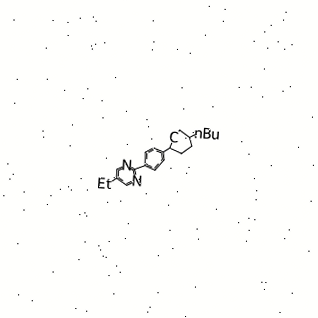 CCCCC1CCC(c2ccc(-c3ncc(CC)cn3)cc2)CC1